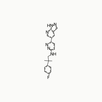 CC(C)(CNc1ccc(-c2cnc3[nH]ncc3c2)nn1)c1ccc(F)cc1